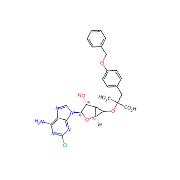 Nc1nc(Cl)nc2c1ncn2[C@@H]1O[C@@H]2C(OC(Cc3ccc(OCc4ccccc4)cc3)(C(=O)O)C(=O)O)C2[C@H]1O